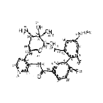 CC(=O)Nc1cc(F)c(-c2nc(C(=O)Nc3cnccc3[C@H]3C[C@@H](N)[C@](C)(O)[C@@H](C)O3)ccc2F)c(F)c1